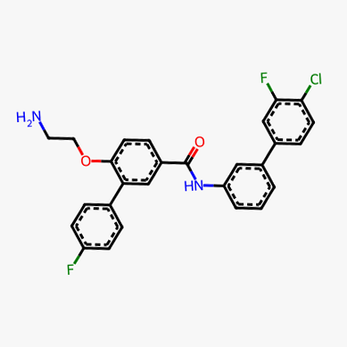 NCCOc1ccc(C(=O)Nc2cccc(-c3ccc(Cl)c(F)c3)c2)cc1-c1ccc(F)cc1